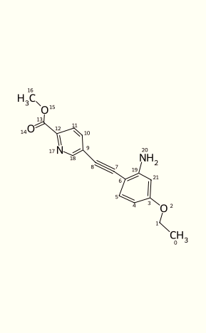 CCOc1ccc(C#Cc2ccc(C(=O)OC)nc2)c(N)c1